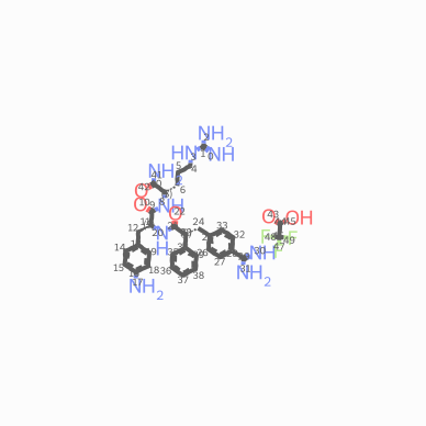 N=C(N)NCCC[C@H](NC(=O)[C@H](Cc1ccc(N)cc1)NC(=O)[C@H](Cc1ccc(C(=N)N)cc1)c1ccccc1)C(N)=O.O=C(O)C(F)(F)F